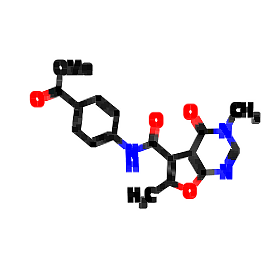 COC(=O)c1ccc(NC(=O)c2c(C)oc3ncn(C)c(=O)c23)cc1